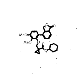 COc1ccc(-c2cccc3c2COC3=O)c(OCC2(C(=O)OC3CCCCC3)CC2)c1OC